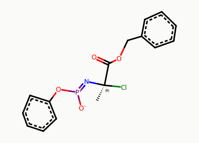 C[C@](Cl)(N=[P+]([O-])Oc1ccccc1)C(=O)OCc1ccccc1